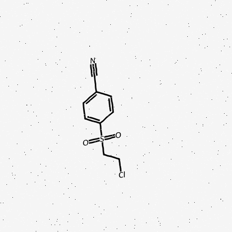 N#Cc1ccc(S(=O)(=O)CCCl)cc1